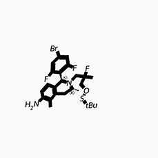 Cc1c(N)ccc2c1C[C@@H](C)N(CC(C)(F)COSC(C)(C)C)[C@@H]2c1c(F)cc(Br)cc1F